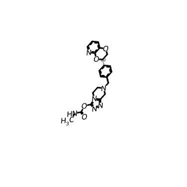 CNC(=O)Oc1nnc2n1CCN(Cc1ccc([C@H]3COc4cccnc4O3)cc1)C2